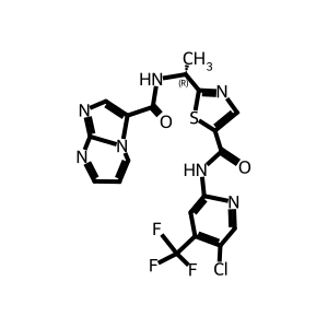 C[C@@H](NC(=O)c1cnc2ncccn12)c1ncc(C(=O)Nc2cc(C(F)(F)F)c(Cl)cn2)s1